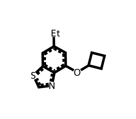 CCc1cc(OC2CCC2)c2ncsc2c1